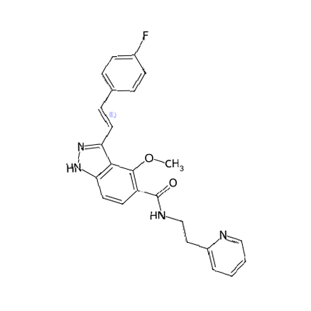 COc1c(C(=O)NCCc2ccccn2)ccc2[nH]nc(/C=C/c3ccc(F)cc3)c12